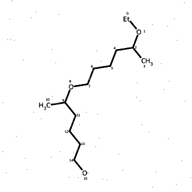 CCOC(C)CCCCOC(C)CCCC[O]